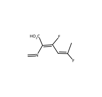 C=N/C(C(=O)O)=C(F)\C=C(/C)F